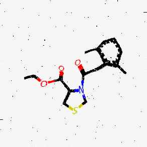 CCOC(=O)C1CSCN1C(=O)Cc1c(C)cccc1C